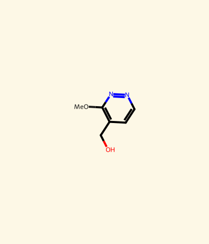 COc1nnccc1CO